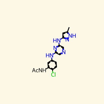 CC(=O)Nc1cc(Nc2cncc(Nc3cc(C)[nH]n3)n2)ccc1Cl